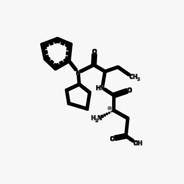 CCC(NC(=O)[C@@H](N)CC(=O)O)C(=O)N(c1ccccc1)C1CCCC1